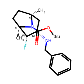 CC(C)(C)OC(=O)N1[C@@]2(C)CC[C@]1(C)[C@@H](F)[C@@H](NCc1ccccc1)C2